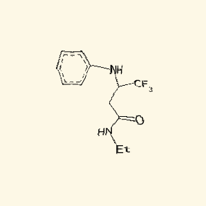 CCNC(=O)CC(Nc1ccccc1)C(F)(F)F